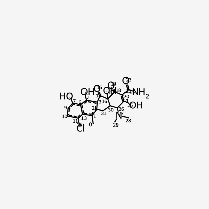 Cc1c2c(c(O)c3c(O)ccc(Cl)c13)C(=O)C1(O)C(=O)C(C(N)=O)=C(O)C(N(C)C)C1C2